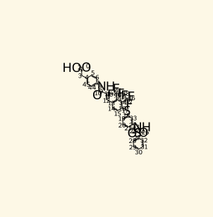 O=C(O)Cc1ccc(NC(=O)/C=C/c2ccc(Sc3cccc(NS(=O)(=O)c4ccccc4)c3)c(C(F)(F)F)c2C(F)(F)F)cc1